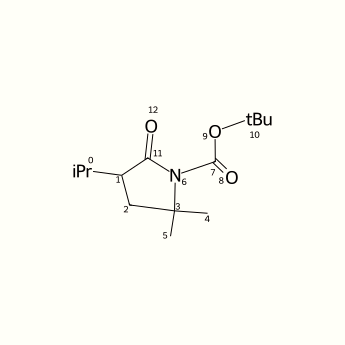 CC(C)C1CC(C)(C)N(C(=O)OC(C)(C)C)C1=O